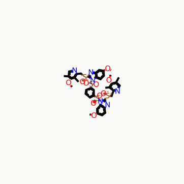 COc1ccc2c(c1)nc([S+]([O-])Cc1ncc(C)c(OC)c1C)n2S(=O)(=O)c1cccc(S(=O)(=O)n2c([S+]([O-])Cc3ncc(C)c(OC)c3C)nc3ccc(OC)cc32)c1